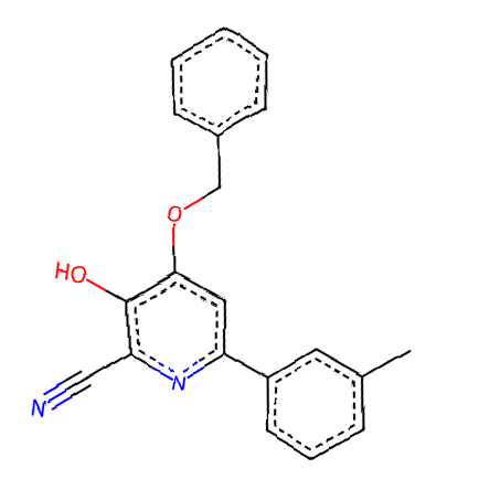 Cc1cccc(-c2cc(OCc3ccccc3)c(O)c(C#N)n2)c1